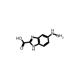 NNc1ccc2[nH]c(C(=O)O)nc2c1